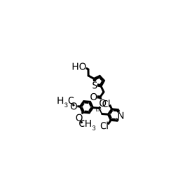 COc1ccc([C@H](Cc2c(Cl)cncc2Cl)OC(=O)Cc2ccc(CCO)s2)cc1OC